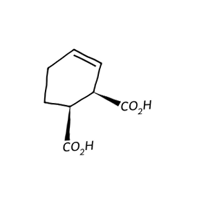 O=C(O)[C@H]1CCC=C[C@H]1C(=O)O